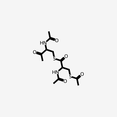 CC(=O)NC(CSC(=O)C(CSC(C)=O)NC(C)=O)C(C)=O